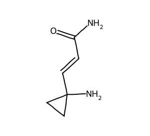 NC(=O)C=CC1(N)CC1